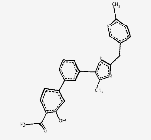 Cc1ccc(Cc2nc(C)c(-c3cccc(-c4ccc(C(=O)O)c(O)c4)c3)s2)cn1